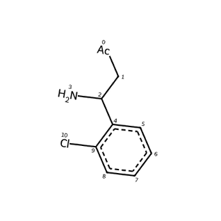 CC(=O)CC(N)c1ccccc1Cl